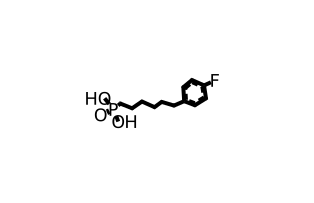 O=P(O)(O)CCCCCCc1ccc(F)cc1